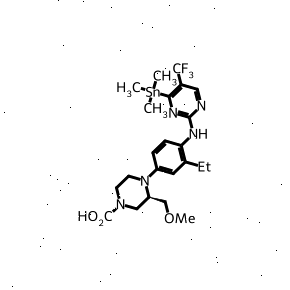 CCc1cc(N2CCN(C(=O)O)C[C@@H]2COC)ccc1Nc1ncc(C(F)(F)F)[c]([Sn]([CH3])([CH3])[CH3])n1